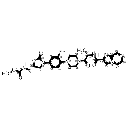 COC(=O)NC[C@H]1CN(c2ccc(N3CCN(C(=O)[C@H](C)NC(=O)c4cn5ccncc5n4)CC3)c(F)c2)C(=O)O1